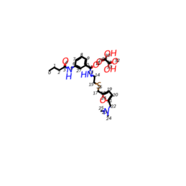 CCCC(=O)Nc1cccc(C(=O)NCCSCc2ccc(CN(C)C)o2)c1.O=C(O)C(=O)O